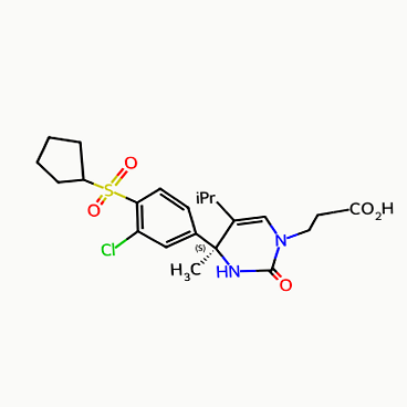 CC(C)C1=CN(CCC(=O)O)C(=O)N[C@@]1(C)c1ccc(S(=O)(=O)C2CCCC2)c(Cl)c1